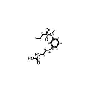 CCCS(=O)(=O)N(C)c1cccc(OCCNC(=O)O)c1